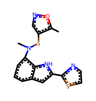 Cc1oncc1SN(C)c1cccc2cc(-c3nccs3)[nH]c12